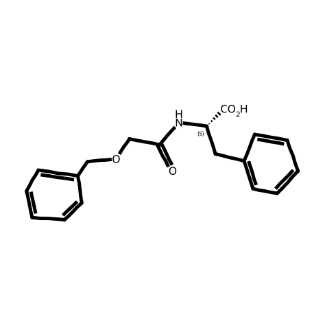 O=C(COCc1ccccc1)N[C@@H](Cc1ccccc1)C(=O)O